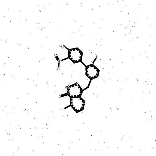 Nc1ccc(-c2cc(Cc3n[nH]c(=O)c4c(F)cccc34)ccc2F)cc1[N+](=O)[O-]